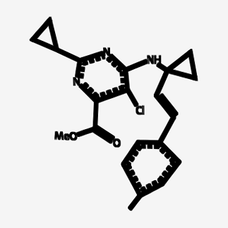 COC(=O)c1nc(C2CC2)nc(NC2(/C=C/c3ccc(C)cc3)CC2)c1Cl